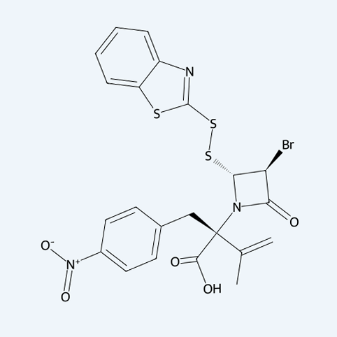 C=C(C)[C@](Cc1ccc([N+](=O)[O-])cc1)(C(=O)O)N1C(=O)[C@H](Br)[C@H]1SSc1nc2ccccc2s1